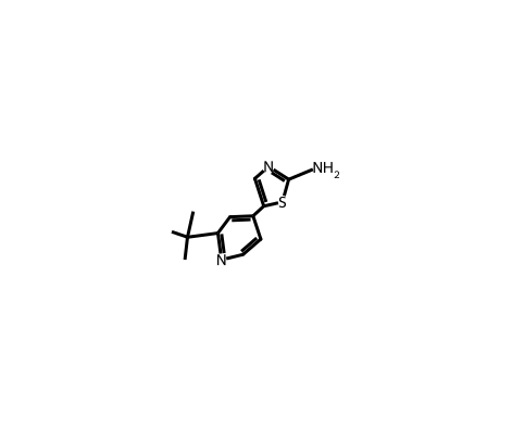 CC(C)(C)c1cc(-c2cnc(N)s2)ccn1